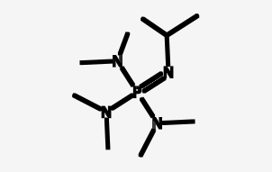 CC(C)N=P(N(C)C)(N(C)C)N(C)C